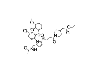 CCOC(=O)CC1CCN(C(=O)CC[C@H]2O[C@H](c3cccc(OC)c3OC)c3cc(Cl)ccc3-n3c(CNC(C)=O)ccc32)CC1